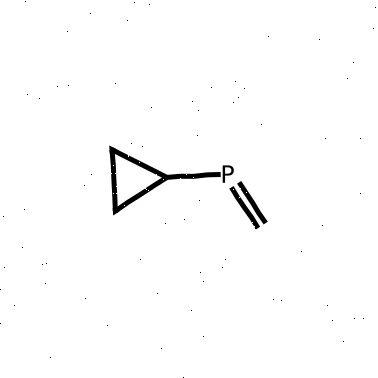 C=PC1CC1